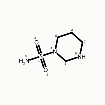 NS(=O)(=O)N1CCCNC1